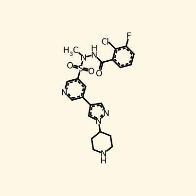 CN(NC(=O)c1cccc(F)c1Cl)S(=O)(=O)c1cncc(-c2cnn(C3CCNCC3)c2)c1